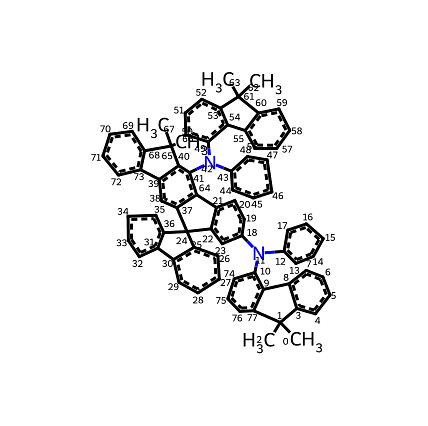 CC1(C)c2ccccc2-c2c(N(c3ccccc3)c3ccc4c(c3)C3(c5ccccc5-c5ccccc53)c3cc5c(c(N(c6ccccc6)c6cccc7c6-c6ccccc6C7(C)C)c3-4)C(C)(C)c3ccccc3-5)cccc21